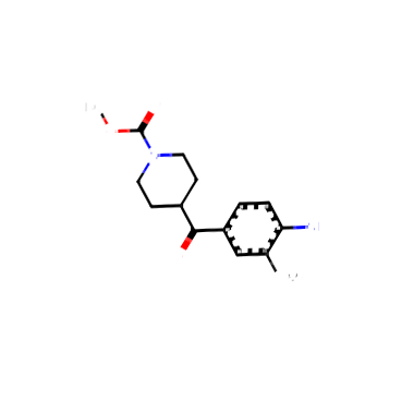 COc1cc(C(=O)C2CCN(C(=O)OC(C)(C)C)CC2)ccc1N